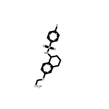 O=C(O)COc1ccc2c(c1)CCCC2NS(=O)(=O)c1ccc(F)cc1